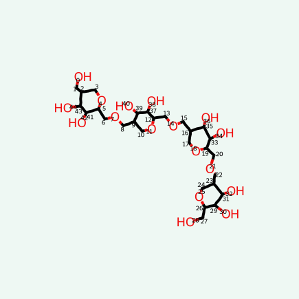 OCC1COC(COCC2COC(COCC3COC(COCC4COC(CO)C(O)C4O)C(O)C3O)C(O)C2O)C(O)C1O